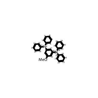 COc1cc(N(c2ccccc2)c2ccccc2)cc(N(c2ccccc2)c2ccccc2)c1